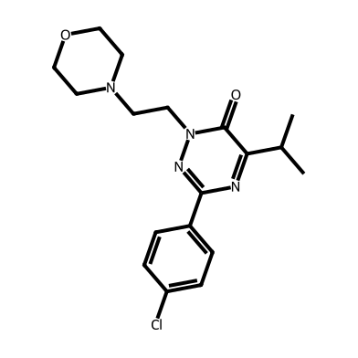 CC(C)c1nc(-c2ccc(Cl)cc2)nn(CCN2CCOCC2)c1=O